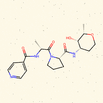 C[C@@H]1OCC[C@H](NC(=O)[C@@H]2CCCN2C(=O)[C@@H](C)NC(=O)c2ccncc2)[C@@H]1O